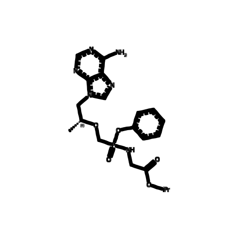 CC(C)OC(=O)CNP(=O)(CO[C@H](C)Cn1cnc2c(N)ncnc21)Oc1ccccc1